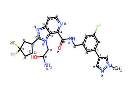 Cn1cc(-c2cc(F)cc(CNC(=O)c3nccc4nc(C5CCC(F)(F)C5)n(CC(N)O)c34)c2)cn1